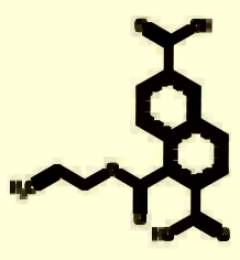 C=CCOC(=O)c1c(C(=O)O)ccc2cc(C(=O)O)ccc12